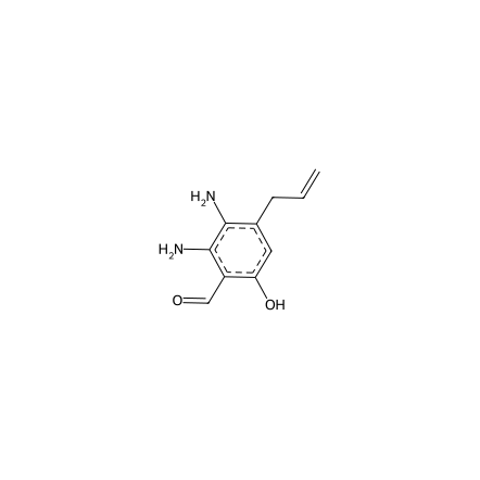 C=CCc1cc(O)c(C=O)c(N)c1N